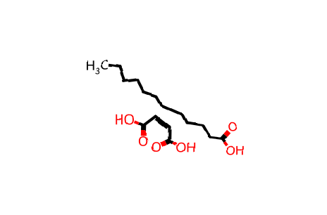 CCCCCCCCCCCC(=O)O.O=C(O)/C=C\C(=O)O